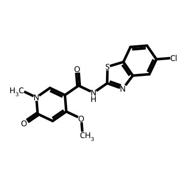 COc1cc(=O)n(C)cc1C(=O)Nc1nc2cc(Cl)ccc2s1